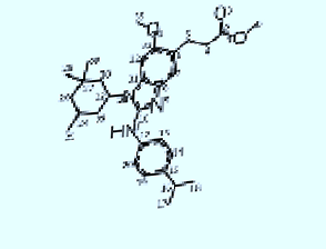 COC(=O)CCc1cc2nc(Nc3ccc(C(C)C)cc3)n(C3CC(C)CC(C)(C)C3)c2cc1OC